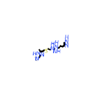 Cc1[nH]c(CN(C)C)nc1CSCCNC(=N)NCCCc1c[nH]cn1